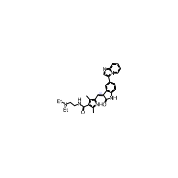 CCN(CC)CCNC(=O)c1c(C)[nH]c(/C=C2\C(=O)Nc3ccc(-c4cnc5ccccn45)cc32)c1C